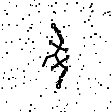 CCC(C(F)(F)N=C=O)C(F)(F)N=C=O